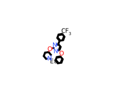 CCN1CCCC(Oc2nc(Oc3ccccc3)cc(-c3ccc(C(F)(F)F)cc3)n2)C1